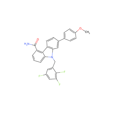 COc1ccc(-c2c[c]c3c4c(C(N)=O)cccc4n(Cc4cc(F)cc(F)c4F)c3c2)cc1